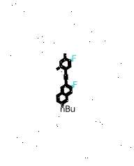 CCCCc1ccc2cc(C#Cc3cc(F)c(C)cc3C)c(F)cc2c1